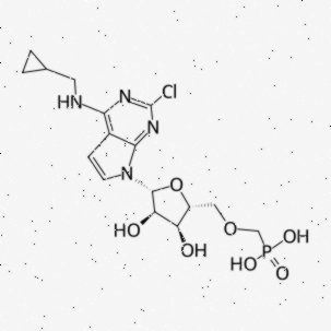 O=P(O)(O)COC[C@H]1O[C@@H](n2ccc3c(NCC4CC4)nc(Cl)nc32)[C@H](O)[C@@H]1O